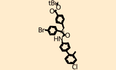 Cc1cc(Cl)ccc1-c1ccc(NC(=O)[C@H](Cc2ccc(C(=O)OC(C)(C)C)cc2)c2ccc(Br)cc2)cc1